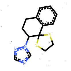 c1ccc2c(c1)CCC(n1cncn1)C21SCCS1